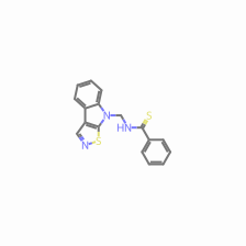 S=C(NCn1c2ccccc2c2cnsc21)c1ccccc1